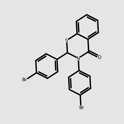 O=C1c2ccccc2SC(c2ccc(Br)cc2)N1c1ccc(Br)cc1